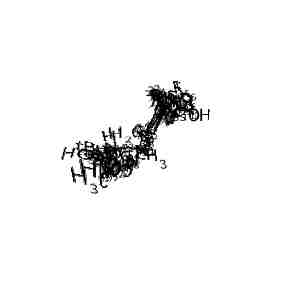 C#Cc1c(F)ccc2cc(O)cc(-c3ncc4c(N5CC6CCC(C5)N6)nc(OCC56CC[C@@H](COC(=O)N(C)CCCCCC(=O)N[C@H](C(=O)N7C[C@H](O)C[C@H]7C(=O)N[C@@H](C)c7ccc(-c8scnc8C)cc7)C(C)(C)C)N5CC(=C)C6)nc4c3F)c12